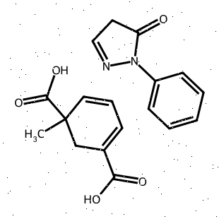 CC1(C(=O)O)C=CC=C(C(=O)O)C1.O=C1CC=NN1c1ccccc1